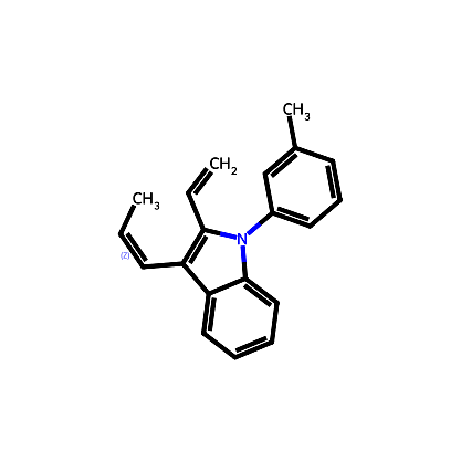 C=Cc1c(/C=C\C)c2ccccc2n1-c1cccc(C)c1